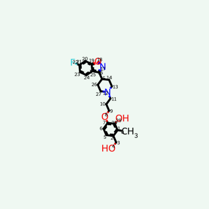 Cc1c(CO)ccc(OCCCN2CCC(c3noc4cc(F)ccc34)CC2)c1O